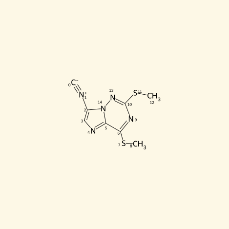 [C-]#[N+]c1cnc2c(SC)nc(SC)nn12